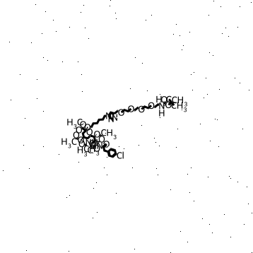 COC(=O)[C@@]1(OCCCCCCn2cc(COCCOCCOCCOCCNC(=O)OC(C)(C)C)nn2)C[C@H](OC(C)=O)[C@@H](NC(C)=O)[C@H]([C@H](OC(C)=O)[C@@H](CNC(=O)Cc2ccc(Cl)cc2)OC(C)=O)O1